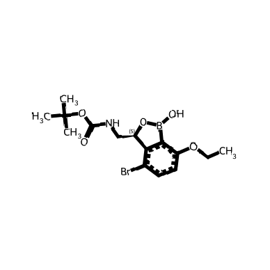 CCOc1ccc(Br)c2c1B(O)O[C@@H]2CNC(=O)OC(C)(C)C